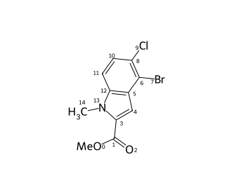 COC(=O)c1cc2c(Br)c(Cl)ccc2n1C